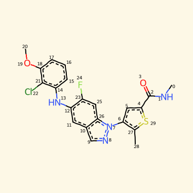 CNC(=O)c1cc(-n2ncc3cc(Nc4cccc(OC)c4Cl)c(F)cc32)c(C)s1